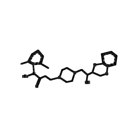 CCCCN(C(=O)CCN1CCN(CC(O)C2COc3ccccc3O2)CC1)c1c(C)cccc1C